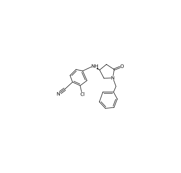 N#Cc1ccc(N[C@H]2CC(=O)N(Cc3ccccc3)C2)cc1Cl